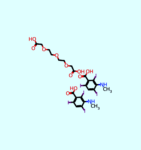 CNc1c(I)cc(I)c(C(=O)O)c1I.CNc1c(I)cc(I)c(C(=O)O)c1I.O=C(O)COCCOCCOCC(=O)O